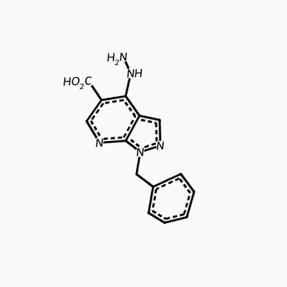 NNc1c(C(=O)O)cnc2c1cnn2Cc1ccccc1